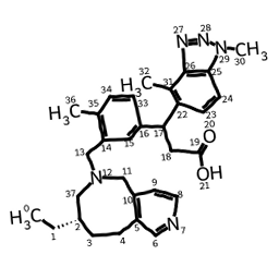 CC[C@H]1CCc2cnccc2CN(Cc2cc(C(CC(=O)O)c3ccc4c(nnn4C)c3C)ccc2C)C1